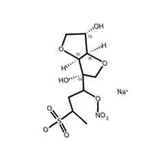 CC(CC(O[N+](=O)[O-])[C@]1(O)CO[C@@H]2[C@@H](O)CO[C@@H]21)S(=O)(=O)[O-].[Na+]